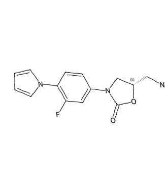 NC[C@H]1CN(c2ccc(-n3cccc3)c(F)c2)C(=O)O1